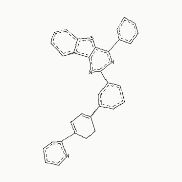 C1=C(c2cccc(-c3nc(-c4ccccc4)c4sc5ccccc5c4n3)c2)CCC(c2ccccn2)=C1